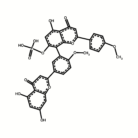 COc1ccc(-c2cc(=O)c3c(O)cc(OP(=O)(O)O)c(-c4cc(-c5cc(=O)c6c(O)cc(O)cc6o5)ccc4OC)c3o2)cc1